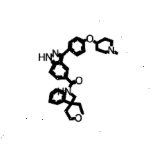 CN1CCC(Oc2ccc(-c3n[nH]c4ccc(C(=O)NCC5(c6ccccc6)CCOCC5)cc34)cc2)CC1